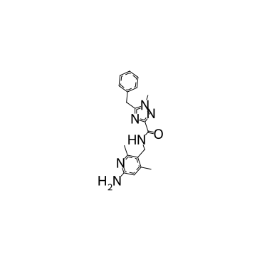 Cc1cc(N)nc(C)c1CNC(=O)c1nc(Cc2ccccc2)n(C)n1